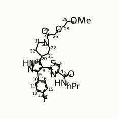 CCCNC(=O)c1csc(-c2c(-c3ccc(F)cc3)n[nH]c2C2CCN(C(=O)COCCOC)CC2)n1